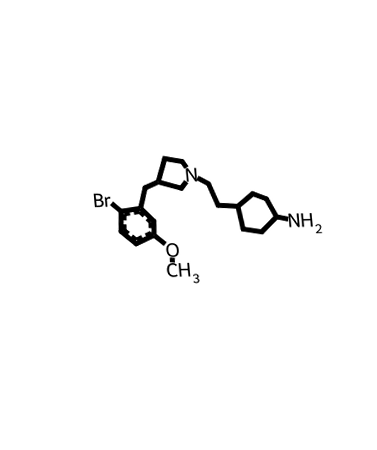 COc1ccc(Br)c(CC2CCN(CCC3CCC(N)CC3)C2)c1